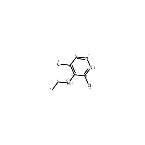 CCNc1c(Cl)cnnc1Cl